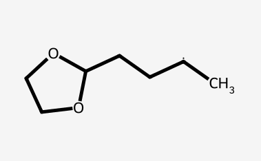 C[CH]CCC1OCCO1